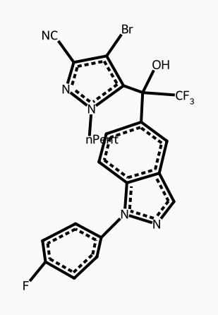 CCCCCn1nc(C#N)c(Br)c1C(O)(c1ccc2c(cnn2-c2ccc(F)cc2)c1)C(F)(F)F